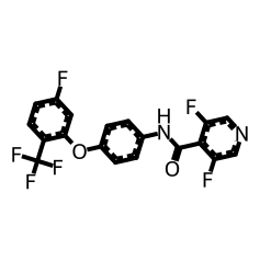 O=C(Nc1ccc(Oc2cc(F)ccc2C(F)(F)F)cc1)c1c(F)cncc1F